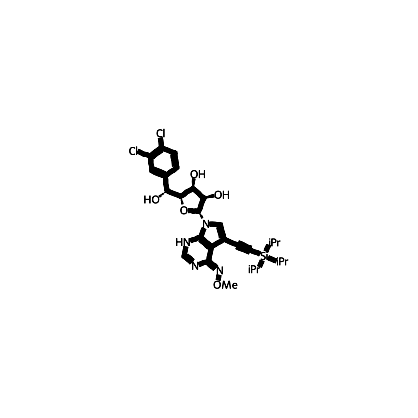 CO/N=c1\nc[nH]c2c1c(C#C[Si](C(C)C)(C(C)C)C(C)C)cn2[C@@H]1O[C@H]([C@H](O)c2ccc(Cl)c(Cl)c2)[C@@H](O)[C@H]1O